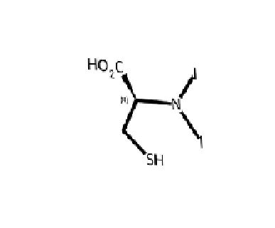 O=C(O)[C@H](CS)N(I)I